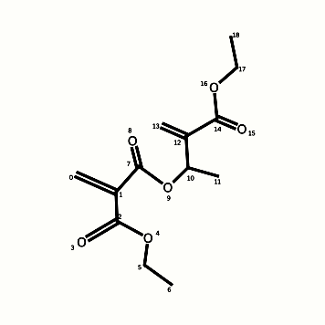 C=C(C(=O)OCC)C(=O)OC(C)C(=C)C(=O)OCC